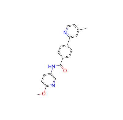 COc1ccc(NC(=O)c2ccc(-c3cc(C)ccn3)cc2)cn1